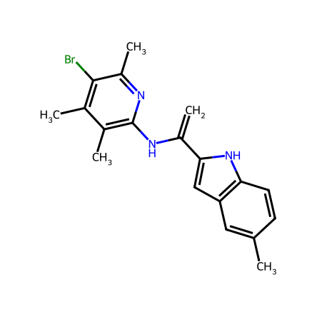 C=C(Nc1nc(C)c(Br)c(C)c1C)c1cc2cc(C)ccc2[nH]1